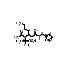 CCCC[C@@H]([C@@H](O)C(=O)NCc1ccno1)N(C(=O)O)C(C)(C)C